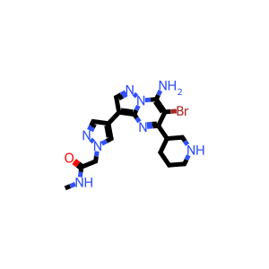 CNC(=O)Cn1cc(-c2cnn3c(N)c(Br)c(C4CCCNC4)nc23)cn1